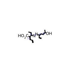 C=C\C=C(C(=O)O)/C(=C\C)/N=N/C(C=C)=C/C=C(\C)O